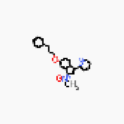 C[N+]([O-])=C1C=C(c2ccccn2)c2ccc(OCCCc3ccccc3)cc21